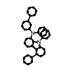 c1ccc(-c2cccc(N(c3ccccc3)c3cccc4c5c(-c6ccccc6)cccc5n(-c5ccccc5)c34)c2)cc1